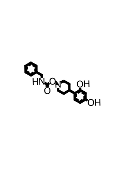 O=C(NCc1ccccc1)ON1CCC(c2ccc(O)cc2O)CC1